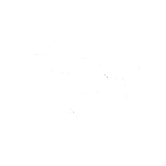 Cc1ccc(CN2C(=O)CCC2CN(C)C)cc1